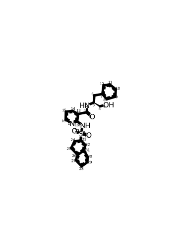 O=C(N[C@H](CO)Cc1ccccc1)c1cccnc1NS(=O)(=O)c1ccc2ccccc2c1